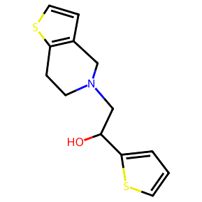 OC(CN1CCc2sccc2C1)c1cccs1